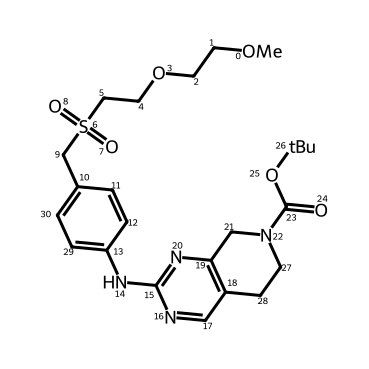 COCCOCCS(=O)(=O)Cc1ccc(Nc2ncc3c(n2)CN(C(=O)OC(C)(C)C)CC3)cc1